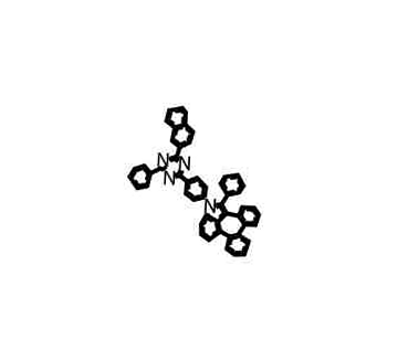 c1ccc(-c2nc(-c3ccc(-n4c(-c5ccccc5)c5c6c(cccc64)-c4ccccc4-c4ccccc4-5)cc3)nc(-c3ccc4ccccc4c3)n2)cc1